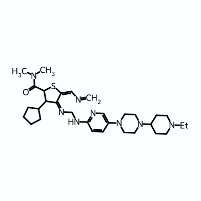 C=N/C=C1/SC(C(=O)N(C)C)C(C2CCCC2)/C1=N/CNc1ccc(N2CCN(C3CCN(CC)CC3)CC2)cn1